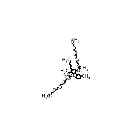 C=C(C)c1c(CCCCC)cc(OC(C)OCCOCCOCCOCCOC)c(-c2cccc(C)c2)c1OC(C)OCCOCCOCCOCCOC